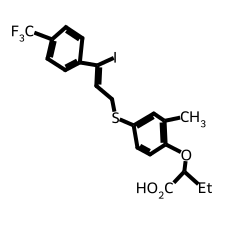 CCC(Oc1ccc(SCC=C(I)c2ccc(C(F)(F)F)cc2)cc1C)C(=O)O